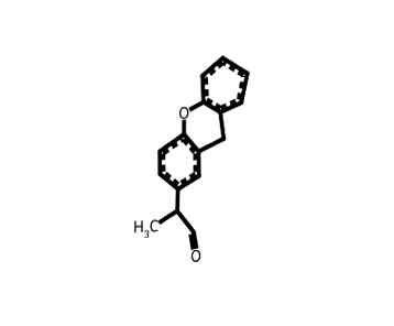 CC(C=O)c1ccc2c(c1)Cc1ccccc1O2